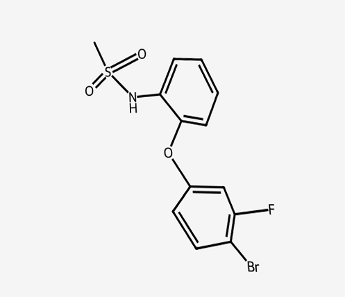 CS(=O)(=O)Nc1ccccc1Oc1ccc(Br)c(F)c1